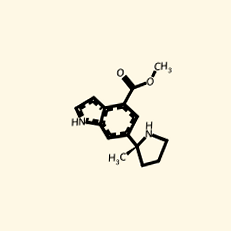 COC(=O)c1cc([C@@]2(C)CCCN2)cc2[nH]ccc12